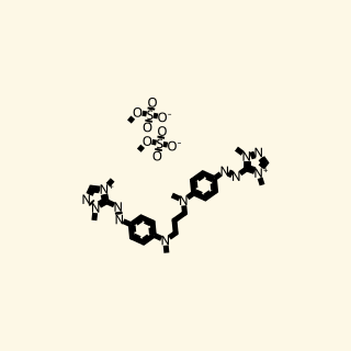 CN(CCCN(C)c1ccc(N=Nc2n(C)nc[n+]2C)cc1)c1ccc(N=Nc2n(C)nc[n+]2C)cc1.COS(=O)(=O)[O-].COS(=O)(=O)[O-]